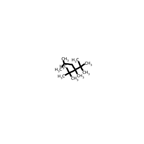 CC(C)CC(C)(C(C)(C)C)C(C)(C)C